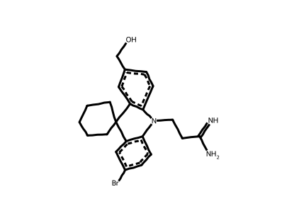 N=C(N)CCN1c2ccc(Br)cc2C2(CCCCC2)c2cc(CO)ccc21